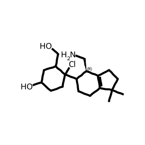 CC1(C)CCC2=C1CCC(C1(Cl)CCC(O)CC1CO)[C@H]2CN